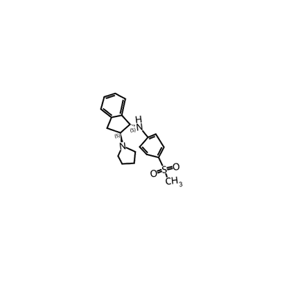 CS(=O)(=O)c1ccc(N[C@H]2c3ccccc3C[C@@H]2N2CCCC2)cc1